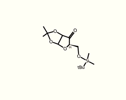 CC1(C)OC2O[C@H](CO[Si](C)(C)C(C)(C)C)C(=O)C2O1